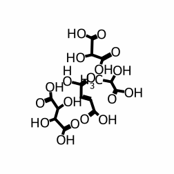 CC(O)C(=O)O.O=C(O)C(O)C(=O)O.O=C(O)C(O)C(O)C(=O)O.O=C(O)C=CC(=O)O